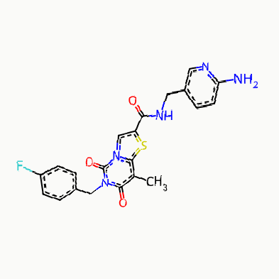 Cc1c(=O)n(Cc2ccc(F)cc2)c(=O)n2cc(C(=O)NCc3ccc(N)nc3)sc12